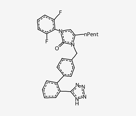 CCCCCc1cn(-c2c(F)cccc2F)c(=O)n1Cc1ccc(-c2ccccc2-c2nnn[nH]2)cc1